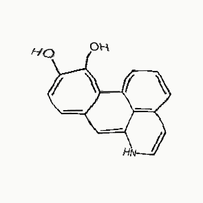 Oc1ccc2cc3c4c(cccc4c2c1O)C=CN3